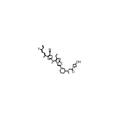 C=C/C(F)=C\C=C(/C)c1nc(N(C)c2c(CC)nc3sc(N4CCCC(N(C)CC(=O)N5CC(O)C5)C4)cn23)sc1C#N